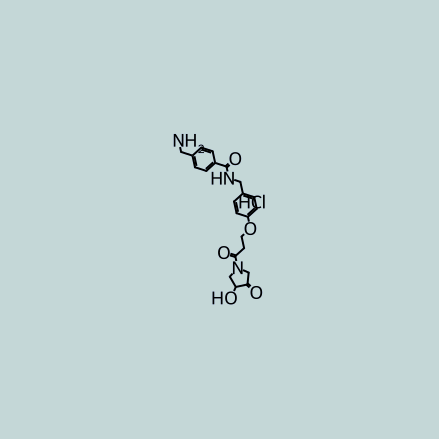 Cl.NCc1ccc(C(=O)NCc2ccc(OCCC(=O)N3CC(=O)C(O)C3)cc2)cc1